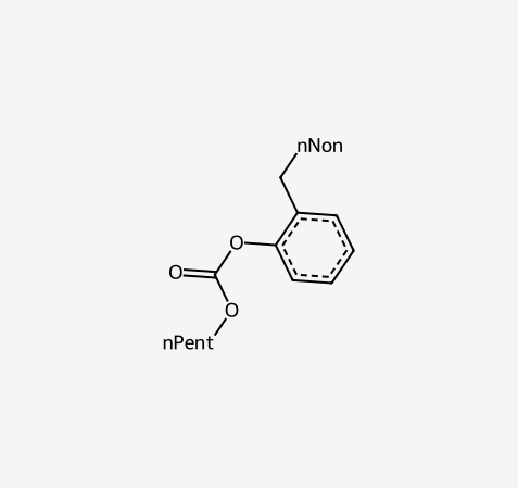 CCCCCCCCCCc1ccccc1OC(=O)OCCCCC